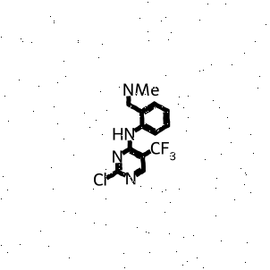 CNCc1ccccc1Nc1nc(Cl)ncc1C(F)(F)F